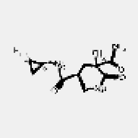 C[C@H]1C[C@@H]1NC(=O)C1=CNC(=O)C(C)(C(N)=O)C1